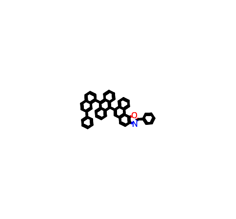 c1ccc(-c2ccc3cccc(-c4c5ccccc5c(-c5cc6ccc7nc(-c8ccccc8)oc7c6c6ccccc56)c5ccccc45)c3c2)cc1